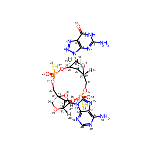 Nc1nc2c(nnn2[C@@H]2O[C@@H]3COP(=O)(S)O[C@H]4[C@H]5OC[C@]4(COP(=O)(S)O[C@@H]2[C@H]3F)O[C@H]5n2cnc3c(N)ncnc32)c(=O)[nH]1